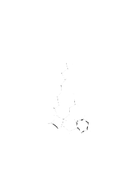 CCCCCCCCCN1C=CN(Cc2ccccc2)C1CCCC